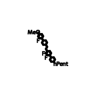 CCCCCC1CCC(c2ccc(CCC3CCC(c4ccc(OC)cc4F)CC3)c(F)c2F)CC1